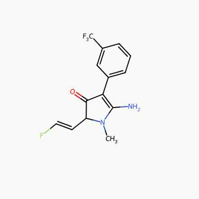 CN1C(N)=C(c2cccc(C(F)(F)F)c2)C(=O)C1C=CF